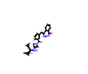 O=C(c1cc(Cc2n[nH]c(=O)c3ccccc23)ccc1F)N1CC(NC(C2CC2)C2CC2)C1